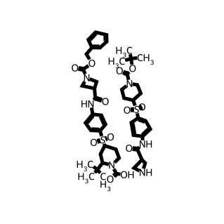 CC(C)(C)C1CC(S(=O)(=O)c2ccc(NC(=O)C3CN(C(=O)OCc4ccccc4)C3)cc2)CCN1C(=O)O.CC(C)(C)OC(=O)N1CCC(S(=O)(=O)c2ccc(NC(=O)C3CNC3)cc2)CC1